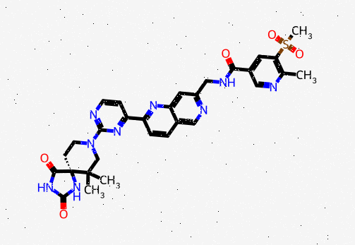 Cc1ncc(C(=O)NCc2cc3nc(-c4ccnc(N5CC[C@@]6(NC(=O)NC6=O)C(C)(C)C5)n4)ccc3cn2)cc1S(C)(=O)=O